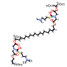 CCCCCC/C=C\COC(=O)CN(CC(=O)OC(CCCCCCCC)CCCCCCCCCCCCCC/C=C\COC(=O)CN(CC(=O)OC(CCCCCCCC)CCCCCCCC)C(=O)SCCCN(C)C)C(=O)SCCCN(CC)CC